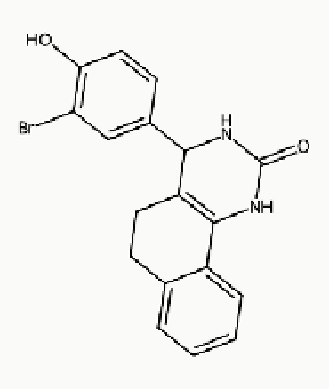 O=C1NC2=C(CCc3ccccc32)C(c2ccc(O)c(Br)c2)N1